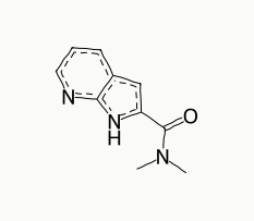 CN(C)C(=O)c1cc2cccnc2[nH]1